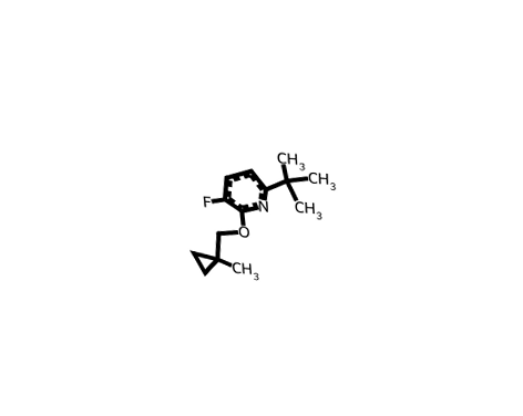 CC1(COc2nc(C(C)(C)C)ccc2F)CC1